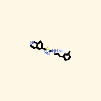 Cc1cccc(C[C@@H](N)CNc2nnc(-c3ccc4cnccc4c3)s2)c1